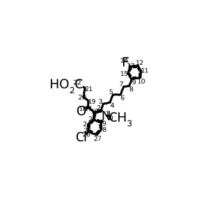 Cn1c(CCCCCCc2cccc(F)c2)c(C(=O)CCCC(=O)O)c2cc(Cl)ccc21